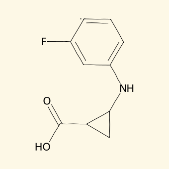 O=C(O)C1CC1Nc1cc[c]c(F)c1